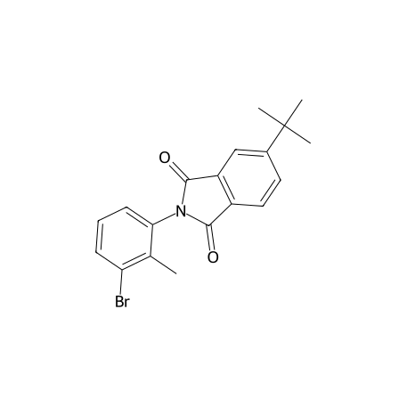 Cc1c(Br)cccc1N1C(=O)c2ccc(C(C)(C)C)cc2C1=O